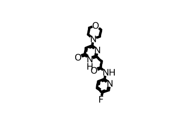 O=C(Cc1nc(N2CCOCC2)cc(=O)[nH]1)Nc1ccc(F)cn1